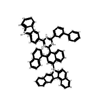 c1ccc(-c2cccc(-c3nc(-c4ccc5sc6ccccc6c5c4)nc(-c4c(-c5cccc6ccccc56)cc(-n5c6cc7ccccc7cc6c6c7ccccc7ccc65)c5ccccc45)n3)c2)cc1